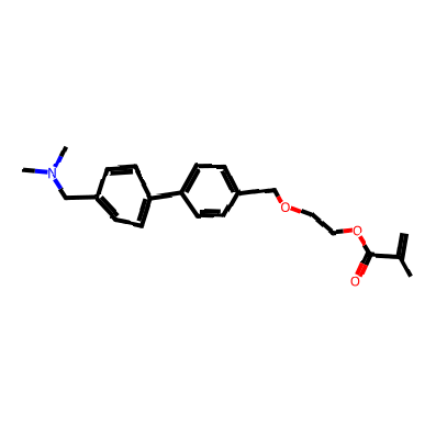 C=C(C)C(=O)OCCOCc1ccc(-c2ccc(CN(C)C)cc2)cc1